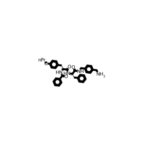 CCCOc1ccc(C[C@@H](NC(=O)c2ccccc2)C(=O)N[C@@H](Cc2ccccc2)C(=O)NCc2ccc(CN)cc2)cc1